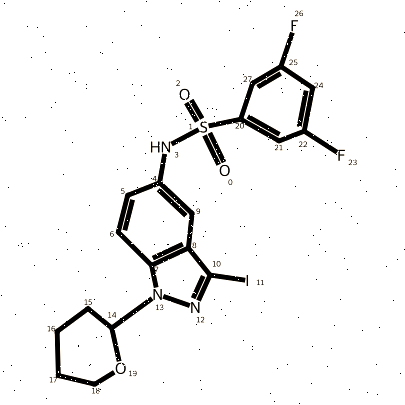 O=S(=O)(Nc1ccc2c(c1)c(I)nn2C1CCCCO1)c1cc(F)cc(F)c1